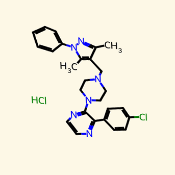 Cc1nn(-c2ccccc2)c(C)c1CN1CCN(c2nccnc2-c2ccc(Cl)cc2)CC1.Cl